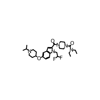 CCN(CC)C(=O)N1CCN(C(=O)c2cc3cc(OC4CCN(C(C)C)CC4)ccc3n2CC(F)F)CC1